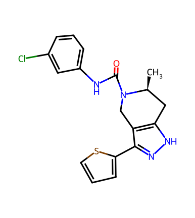 C[C@H]1Cc2[nH]nc(-c3cccs3)c2CN1C(=O)Nc1cccc(Cl)c1